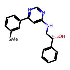 CSc1cccc(-c2cc(NC[C@H](O)c3ccccc3)ncn2)c1